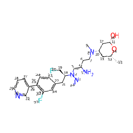 C=NN(/C=C(\N)CCN(C)[C@H]1C[C@@H](C)O[C@@H](O)C1)[C@H](CF)Cc1ccc(-c2cccnc2)c(F)c1